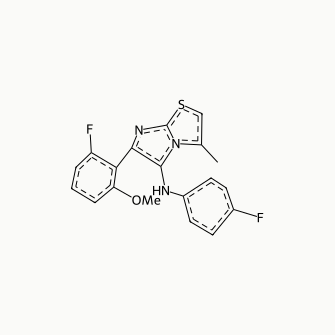 COc1cccc(F)c1-c1nc2scc(C)n2c1Nc1ccc(F)cc1